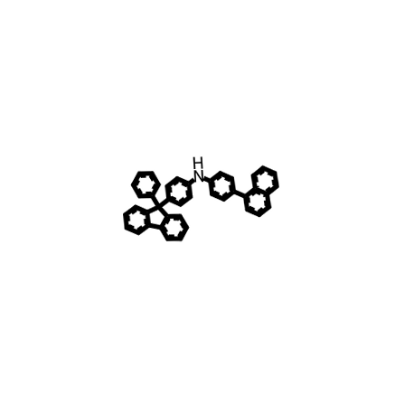 c1ccc(C2(c3ccc(Nc4ccc(-c5cccc6ccccc56)cc4)cc3)c3ccccc3-c3ccccc32)cc1